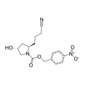 N#CCCC[C@@H]1C[C@@H](O)CN1C(=O)OCc1ccc([N+](=O)[O-])cc1